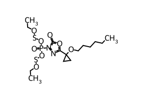 CCCCCCOC1(c2nn(P(=O)(OSOCC)OSOCC)c(=O)o2)CC1